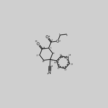 CCOC(=O)C1CC(C#N)(c2cccnc2)CCC1=O